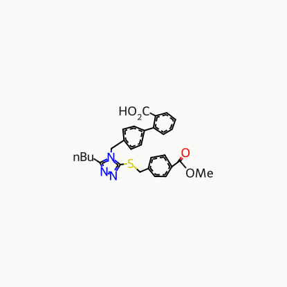 CCCCc1nnc(SCc2ccc(C(=O)OC)cc2)n1Cc1ccc(-c2ccccc2C(=O)O)cc1